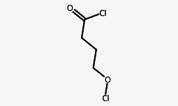 O=C(Cl)CCCOCl